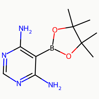 CC1(C)OB(c2c(N)ncnc2N)OC1(C)C